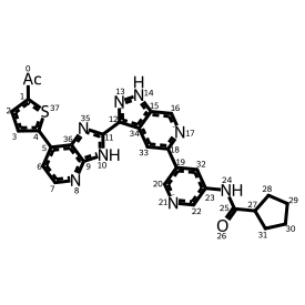 CC(=O)c1ccc(-c2ccnc3[nH]c(-c4n[nH]c5cnc(-c6cncc(NC(=O)C7CCCC7)c6)cc45)nc23)s1